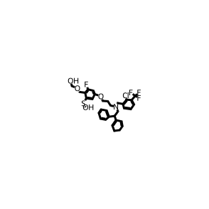 OCOCc1c(F)cc(OCCCN(Cc2cccc(C(F)(F)F)c2Cl)CC(C2=CCCC=C2)c2ccccc2)cc1SO